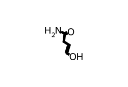 NC(=O)CC=CO